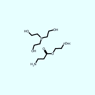 CCCCCCCCCCCCOC(=O)CCN.OCCN(CCO)CCO